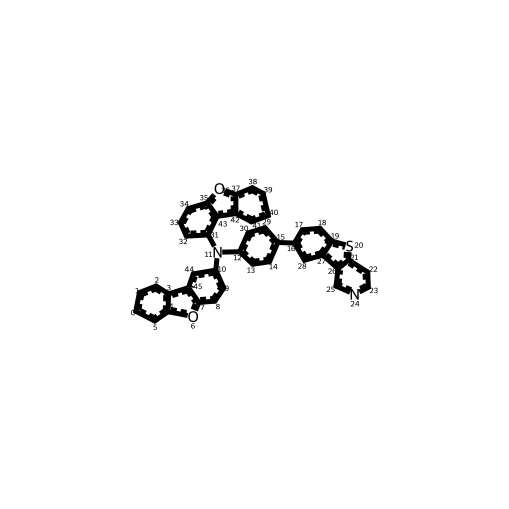 c1ccc2c(c1)oc1ccc(N(c3ccc(-c4ccc5sc6ccncc6c5c4)cc3)c3cccc4oc5ccccc5c34)cc12